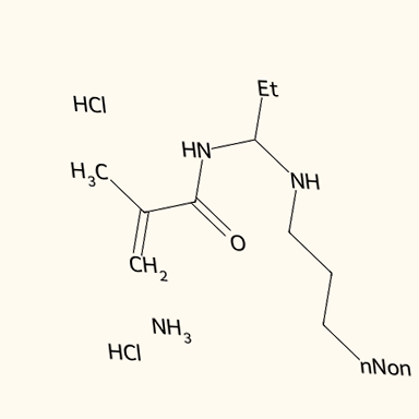 C=C(C)C(=O)NC(CC)NCCCCCCCCCCCC.Cl.Cl.N